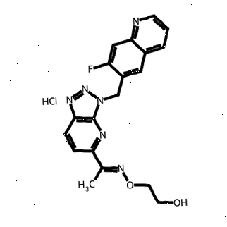 CC(=NOCCO)c1ccc2nnn(Cc3cc4cccnc4cc3F)c2n1.Cl